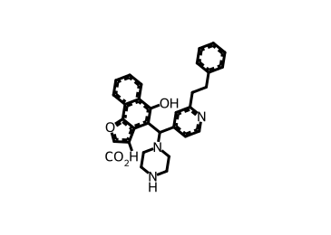 O=C(O)c1coc2c1c(C(c1ccnc(CCc3ccccc3)c1)N1CCNCC1)c(O)c1ccccc12